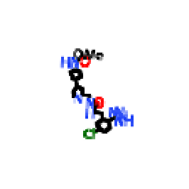 COC(=O)Nc1ccc(-c2ccnc(CNC(=O)/C=C/c3cc(Cl)ccc3-c3nnn[nH]3)c2)cc1